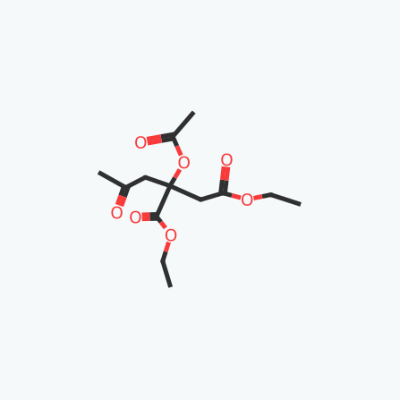 CCOC(=O)CC(CC(C)=O)(OC(C)=O)C(=O)OCC